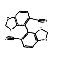 N#Cc1ccc2c(c1-c1c(C#N)ccc3c1OCO3)OCO2